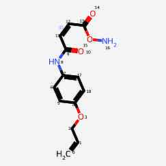 C=CCOc1ccc(NC(=O)/C=C\C(=O)ON)cc1